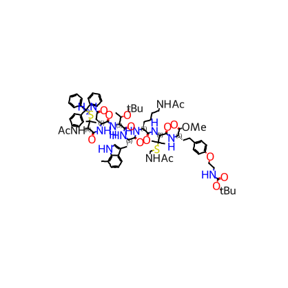 COC(=O)[C@H](CCc1ccc(OCCNC(=O)OC(C)(C)C)cc1)NC(=O)[C@@H](NC(=O)[C@H](CCCCNC(C)=O)NC(=O)[C@H](Cc1c[nH]c2c(C)cccc12)NC(=O)[C@@H](NC(=O)[C@H](CC(N)=O)NC(=O)[C@@H](NC(C)=O)C(C)(C)SC(c1ccccc1)(c1ccccc1)c1ccccc1)C(C)OC(C)(C)C)C(C)(C)SCNC(C)=O